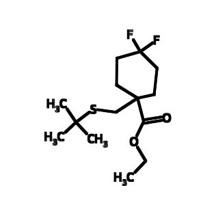 CCOC(=O)C1(CSC(C)(C)C)CCC(F)(F)CC1